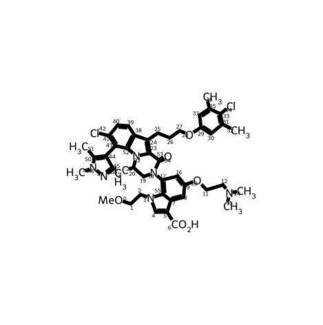 COCCn1cc(C(=O)O)c2cc(OCCN(C)C)cc(N3CC(C)n4c(c(CCCOc5cc(C)c(Cl)c(C)c5)c5ccc(Cl)c(-c6c(C)nn(C)c6C)c54)C3=O)c21